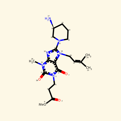 COC(=O)CCn1c(=O)c2c(nc(N3CCC[C@H](N)C3)n2CC=C(C)C)n(C)c1=O